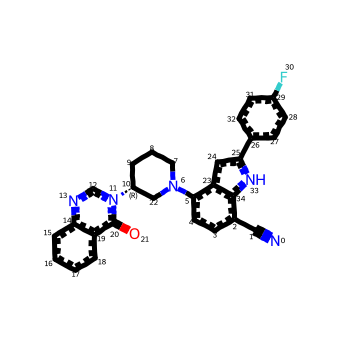 N#Cc1ccc(N2CCC[C@@H](n3cnc4ccccc4c3=O)C2)c2cc(-c3ccc(F)cc3)[nH]c12